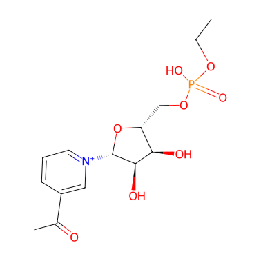 CCOP(=O)(O)OC[C@H]1O[C@@H]([n+]2cccc(C(C)=O)c2)[C@H](O)[C@@H]1O